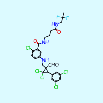 CC(F)(F)CNC(=O)CCCNC(=O)c1cc(NCC2(C=O)C(c3cc(Cl)cc(Cl)c3)C2(Cl)Cl)ccc1Cl